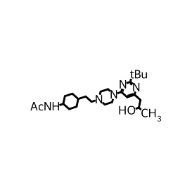 CC(=O)NC1CCC(CCN2CCN(c3cc(CC(C)O)nc(C(C)(C)C)n3)CC2)CC1